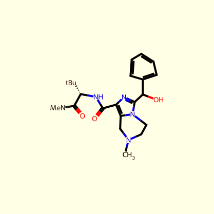 CNC(=O)[C@@H](NC(=O)c1nc(C(O)c2ccccc2)n2c1CN(C)CC2)C(C)(C)C